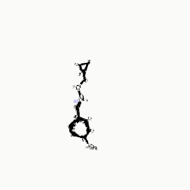 CC(C)(C)c1ccc(/C=N/OCC2CC2)cc1